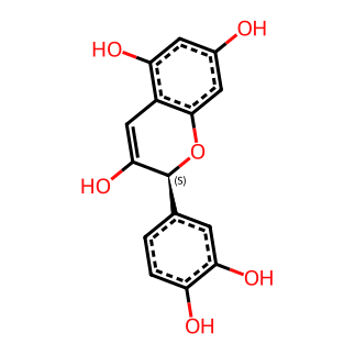 OC1=Cc2c(O)cc(O)cc2O[C@H]1c1ccc(O)c(O)c1